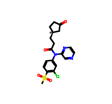 CS(=O)(=O)c1ccc(N(C(=O)CC[C@H]2CCC(=O)C2)c2cnccn2)cc1Cl